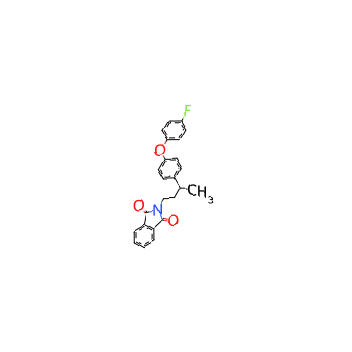 CC(CCN1C(=O)c2ccccc2C1=O)c1ccc(Oc2ccc(F)cc2)cc1